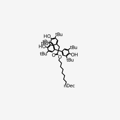 CCCCCCCCCCCCCCCCCCOC(=O)C(Cc1cc(C(C)(C)C)c(O)c(C(C)(C)C)c1)(c1cc(C(C)(C)C)c(O)c(C(C)(C)C)c1)c1cc(C(C)(C)C)c(O)c(C(C)(C)C)c1